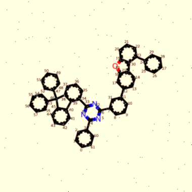 c1ccc(-c2nc(-c3cccc(-c4ccc5c(c4)oc4cccc(-c6ccccc6)c45)c3)nc(-c3cccc4c3-c3ccccc3C4(c3ccccc3)c3ccccc3)n2)cc1